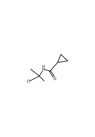 CC(C)(Cl)NC(=O)C1CC1